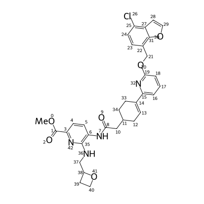 COC(=O)c1ccc(NC(=O)CC2CC=C(c3cccc(OCc4ccc(Cl)c5ccoc45)n3)CC2)c(NCC2CCO2)n1